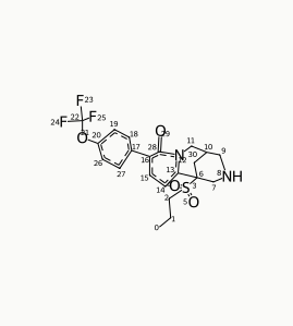 CCCS(=O)(=O)C12CNCC(Cn3c1ccc(-c1ccc(OC(F)(F)F)cc1)c3=O)C2